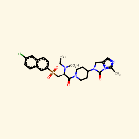 Cc1ncc2n1C(=O)N(C1CCN(C(=O)[C@@H](CS(=O)(=O)c3ccc4cc(Cl)ccc4c3)N(CC(C)(C)C)C(=O)O)CC1)C2